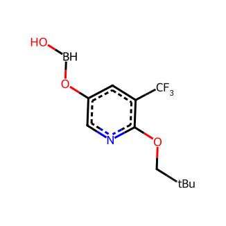 CC(C)(C)COc1ncc(OBO)cc1C(F)(F)F